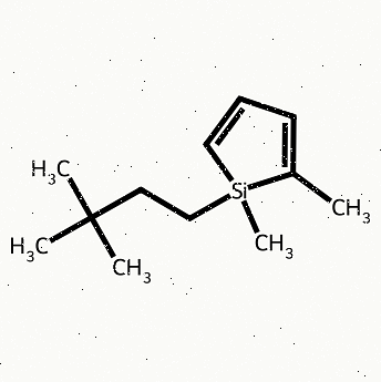 CC1=CC=C[Si]1(C)CCC(C)(C)C